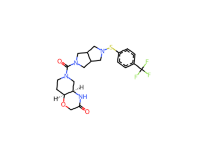 O=C1CO[C@H]2CCN(C(=O)N3CC4CN(Sc5ccc(C(F)(F)F)cc5)CC4C3)C[C@H]2N1